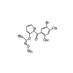 CC(C)(C)O/N=C(\Oc1cccnc1C(=O)c1cc(Br)c(C#N)cc1O)C(C)(C)C